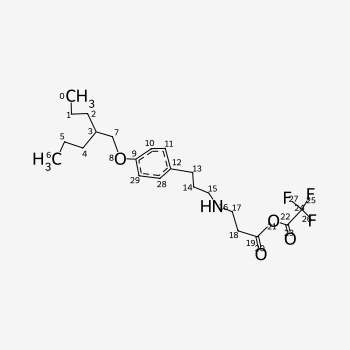 CCCC(CCC)COc1ccc(CCCNCCC(=O)OC(=O)C(F)(F)F)cc1